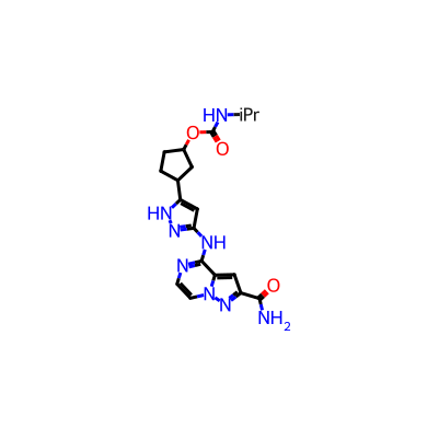 CC(C)NC(=O)OC1CCC(c2cc(Nc3nccn4nc(C(N)=O)cc34)n[nH]2)C1